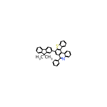 CC1(C)c2ccccc2-c2ccc(-c3cc4c(-c5ccccc5)nc5ccccc5c4c4c3sc3ccccc34)cc21